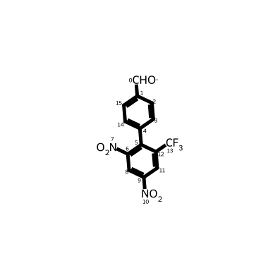 O=[C]c1ccc(-c2c([N+](=O)[O-])cc([N+](=O)[O-])cc2C(F)(F)F)cc1